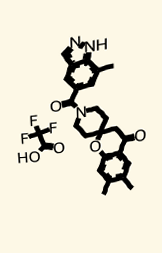 Cc1cc2c(cc1C)C(=O)CC1(CCN(C(=O)c3cc(C)c4[nH]ncc4c3)CC1)O2.O=C(O)C(F)(F)F